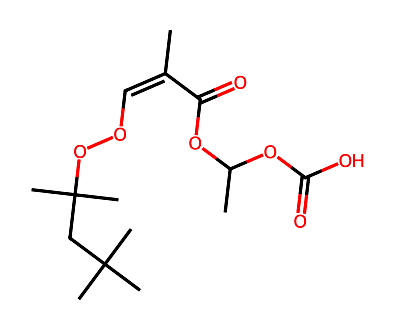 CC(=COOC(C)(C)CC(C)(C)C)C(=O)OC(C)OC(=O)O